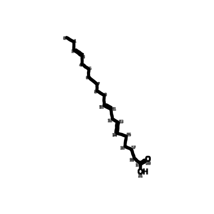 CCC=CCCCCCCC=CCC=CCCCCC(=O)O